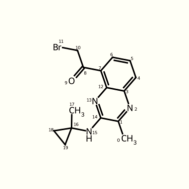 Cc1nc2cccc(C(=O)CBr)c2nc1NC1(C)CC1